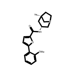 COc1ccccc1-c1ccc(C(=O)N[C@@H]2C[C@H]3CCN(C3)C2)o1